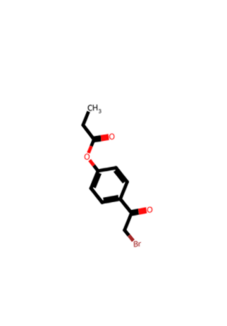 CCC(=O)Oc1ccc(C(=O)CBr)cc1